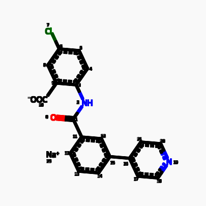 O=C(Nc1ccc(Cl)cc1C(=O)[O-])c1cccc(-c2ccncc2)c1.[Na+]